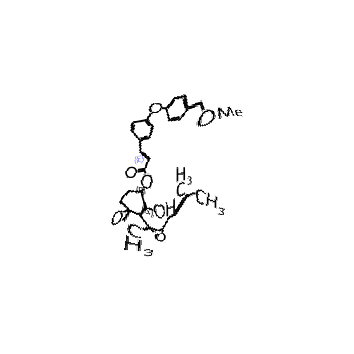 COCc1ccc(Oc2ccc(/C=C/C(=O)O[C@@H]3CCC4(CO4)C(C4(C)OC4CC=C(C)C)[C@@H]3O)cc2)cc1